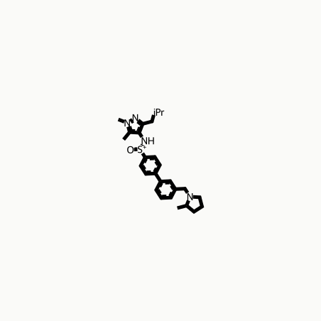 Cc1c(N[S+]([O-])c2ccc(-c3cccc(CN4CCCC4C)c3)cc2)c(CC(C)C)nn1C